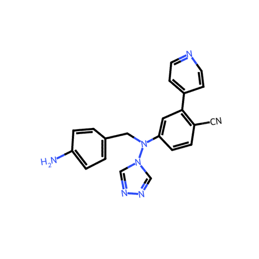 N#Cc1ccc(N(Cc2ccc(N)cc2)n2cnnc2)cc1-c1ccncc1